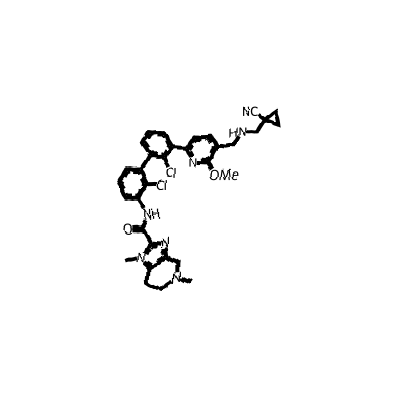 COc1nc(-c2cccc(-c3cccc(NC(=O)c4nc5c(n4C)CCN(C)C5)c3Cl)c2Cl)ccc1CNCC1(C#N)CC1